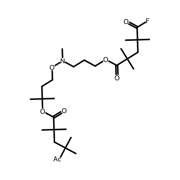 CC(=O)C(C)(C)CC(C)(C)C(=O)OC(C)(C)CCON(C)CCCOC(=O)C(C)(C)CC(C)(C)C(=O)F